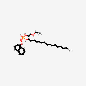 CCCCCCCCCCCCCCCCOP(=O)(OCCOCC)OOc1cccc2ccccc12